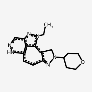 CCn1nc2cn[nH]c3ccc4c(c1c2=3)CN(C1CCOCC1)N=4